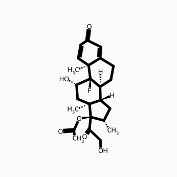 CC(=O)O[C@]1(C(=O)CO)[C@@H](C)C[C@H]2[C@@H]3CCC4=CC(=O)C=C[C@]4(C)[C@@]3(F)[C@@H](O)C[C@@]21C